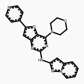 c1ccn2nc(Nc3nc(N4CCOCC4)c4oc(-c5ccncc5)cc4n3)cc2c1